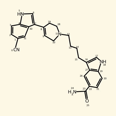 N#Cc1ccc2[nH]cc(C3=CCN(CCCCc4c[nH]c5ccc(C(N)=O)cc45)CC3)c2c1